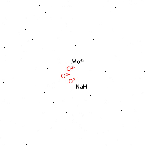 [Mo+6].[NaH].[O-2].[O-2].[O-2]